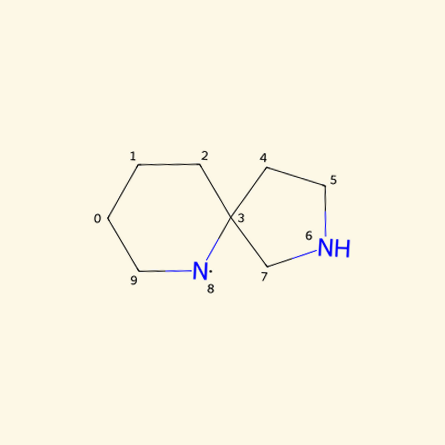 C1CCC2(CCNC2)[N]C1